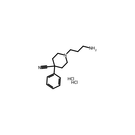 Cl.Cl.N#CC1(c2ccccc2)CCN(CCCN)CC1